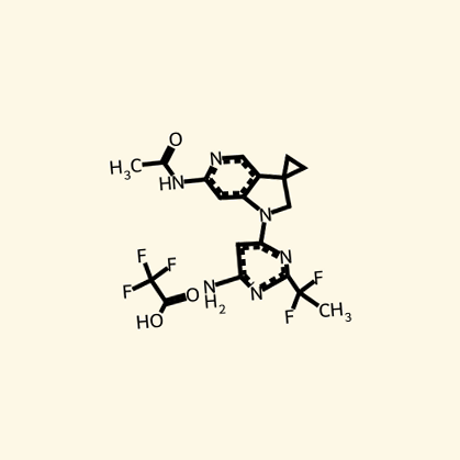 CC(=O)Nc1cc2c(cn1)C1(CC1)CN2c1cc(N)nc(C(C)(F)F)n1.O=C(O)C(F)(F)F